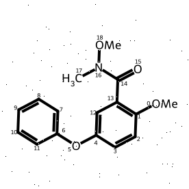 COc1ccc(Oc2ccccc2)cc1C(=O)N(C)OC